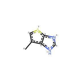 Cc1csc2nc[nH]c12